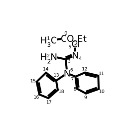 CCOC(C)=O.NC(=NCl)N(c1ccccc1)c1ccccc1